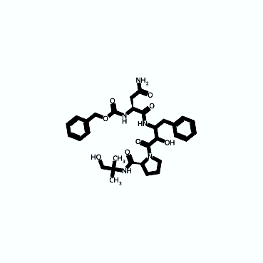 CC(C)(CO)NC(=O)[C@@H]1CCCN1C(=O)C(O)C(Cc1ccccc1)NC(=O)[C@H](CC(N)=O)NC(=O)OCc1ccccc1